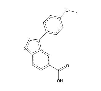 COc1ccc(-c2csc3ccc(C(=O)O)cc23)cc1